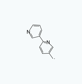 [CH2]c1ccc(-c2cccnc2)nc1